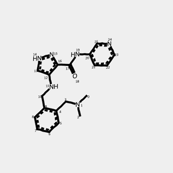 CN(C)Cc1ccccc1CNc1c[nH]nc1C(=O)Nc1cccnc1